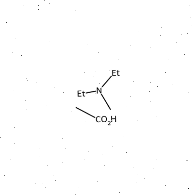 CC(=O)O.CCN(C)CC